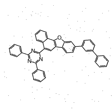 c1ccc(-c2cccc(-c3ccc4c(c3)oc3c5ccccc5c(-c5nc(-c6ccccc6)nc(-c6ccccc6)n5)cc43)c2)cc1